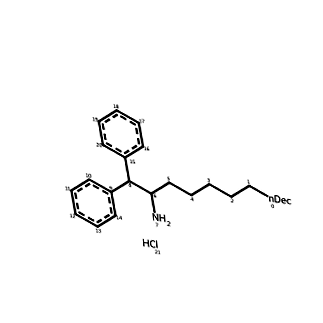 CCCCCCCCCCCCCCCC(N)C(c1ccccc1)c1ccccc1.Cl